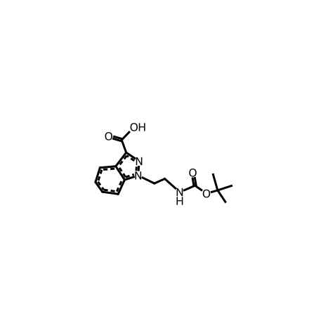 CC(C)(C)OC(=O)NCCn1nc(C(=O)O)c2ccccc21